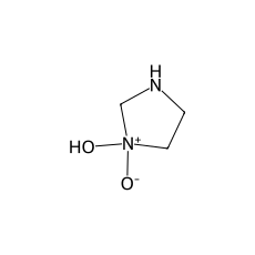 [O-][N+]1(O)CCNC1